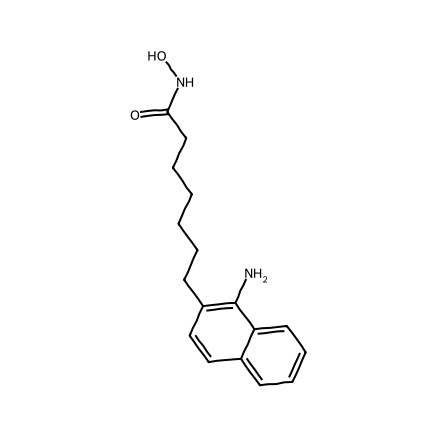 Nc1c(CCCCCCC(=O)NO)ccc2ccccc12